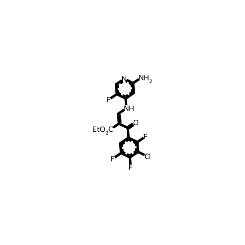 CCOC(=O)C(=CNc1cc(N)ncc1F)C(=O)c1cc(F)c(F)c(Cl)c1F